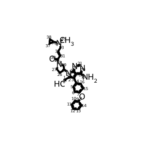 C#Cc1c(-c2ccc(Oc3ccccc3)cc2)c2c(N)ncnc2n1C1CCN(C(=O)C=CCN(C)C2CC2)C1